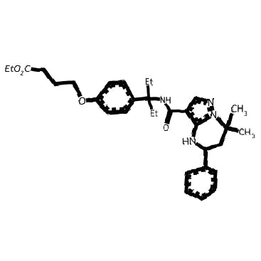 CCOC(=O)CCCOc1ccc(C(CC)(CC)NC(=O)c2cnn3c2NC(c2ccccc2)CC3(C)C)cc1